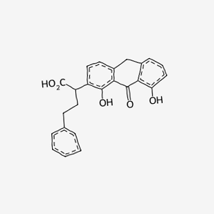 O=C1c2c(O)cccc2Cc2ccc(C(CCc3ccccc3)C(=O)O)c(O)c21